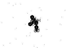 O=[N+]([O-])c1ccc(-c2ccc(Nc3nc4ccccc4nc3NS(=O)(=O)c3ccccc3)cc2)cc1